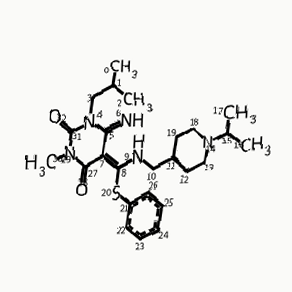 CC(C)CN1C(=N)/C(=C(\NCC2CCN(C(C)C)CC2)Sc2ccccc2)C(=O)N(C)C1=O